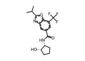 CC(C)c1nc2cc(C(=O)N[C@@H]3CCC[C@@H]3O)cc(C(F)(F)F)c2o1